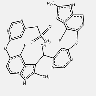 Cc1cc2c(F)c(Oc3cc(C(O)c4c(C)[nH]c5ccc(Oc6cc(CS(C)(=O)=O)ncn6)c(F)c45)ncn3)ccc2[nH]1